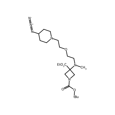 CCOC(=O)C1(N(C)CCOCCN2CCC(N=[N+]=[N-])CC2)CN(C(=O)OC(C)(C)C)C1